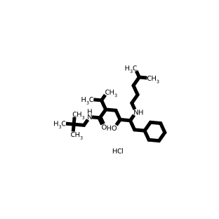 CC(C)CCCNC(CC1CCCCC1)C(O)CC(C(=O)NCC(C)(C)C)C(C)C.Cl